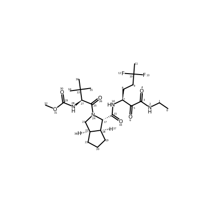 CCNC(=O)C(=O)[C@H](CCC(C)(F)F)NC(=O)[C@@H]1[C@H]2CCC[C@H]2CN1C(=O)[C@@H](NC(=O)OC)C(C)(C)C